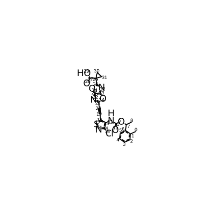 Cc1ccccc1C(C)OC(=O)Nc1c(Cl)nsc1C#Cc1nc2oc(C3(C(=O)O)CC3)nc2o1